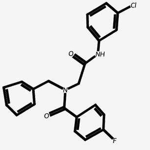 O=C(CN(Cc1ccccc1)C(=O)c1ccc(F)cc1)Nc1cccc(Cl)c1